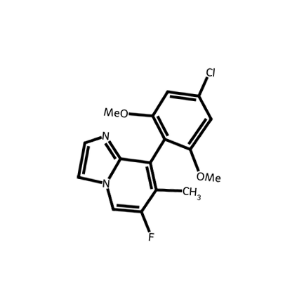 COc1cc(Cl)cc(OC)c1-c1c(C)c(F)cn2ccnc12